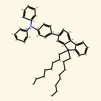 CCCCCCCCC1(CCCCCCCC)c2ccccc2-c2ccc(-c3ccc(N(c4ccccc4)c4ccccc4)cc3)cc21